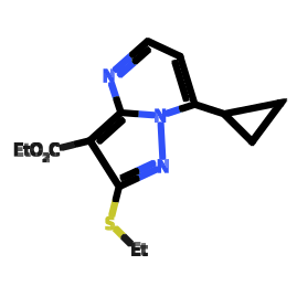 CCOC(=O)c1c(SCC)nn2c(C3CC3)ccnc12